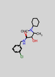 CC(C(O)C(=O)NCc1cccc(Cl)c1)N(C=O)C1CCCCC1